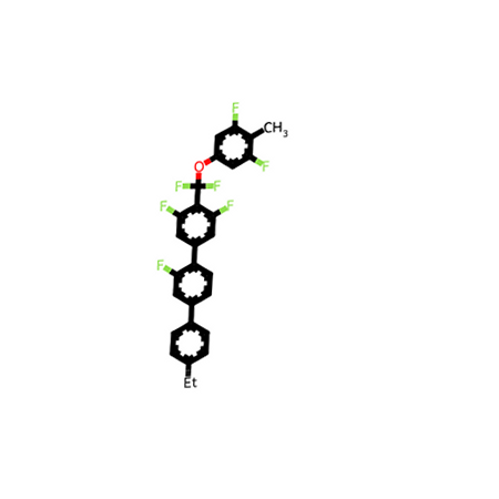 CCc1ccc(-c2ccc(-c3cc(F)c(C(F)(F)Oc4cc(F)c(C)c(F)c4)c(F)c3)c(F)c2)cc1